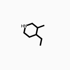 CCC1CCNCC1C